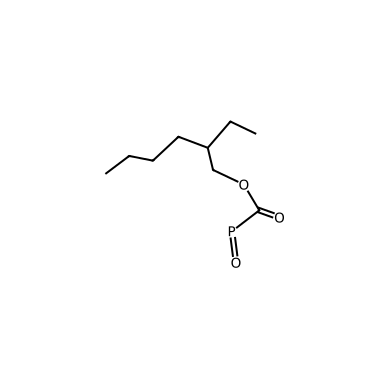 CCCCC(CC)COC(=O)P=O